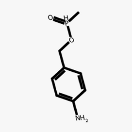 C[PH](=O)OCc1ccc(N)cc1